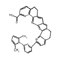 Cc1ccc(C)n1-c1cccc(-c2ccc3c(n2)-c2nc4nc5c(cc4cc2CC3)CCc2ccc(C(=O)O)nc2-5)n1